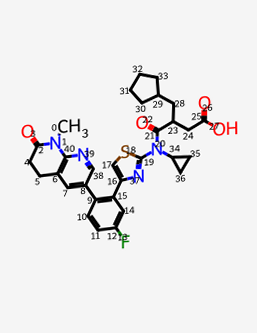 CN1C(=O)CCc2cc(-c3ccc(F)cc3-c3csc(N(C(=O)C(CC(=O)O)CC4CCCC4)C4CC4)n3)cnc21